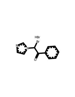 Br.O=C(c1ccccc1)C(Br)n1ccnc1